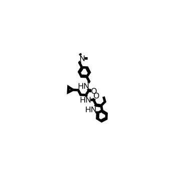 CCc1c(C(=O)NC(CCC2CC2)C(=O)NCc2ccc(CN(C)C)cc2)[nH]c2ccccc12